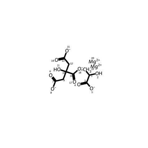 CC(O)C(=O)[O-].O=C([O-])CC(O)(CC(=O)[O-])C(=O)[O-].[Mg+2].[Mg+2]